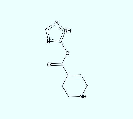 O=C(Oc1ncn[nH]1)C1CCNCC1